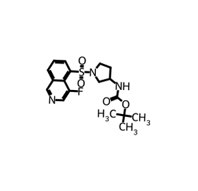 CC(C)(C)OC(=O)NC1CCN(S(=O)(=O)c2cccc3cncc(F)c23)C1